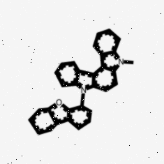 Cn1c2ccccc2c2c3c4ccccc4n(-c4cccc5c4oc4ccccc45)c3ccc21